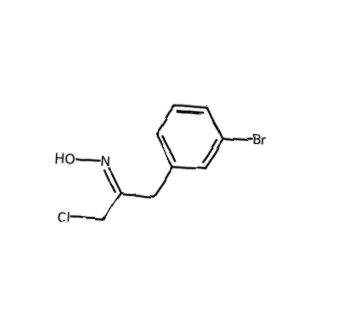 ON=C(CCl)Cc1cccc(Br)c1